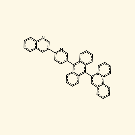 c1ccc2ncc(-c3ccc(-c4c5ccccc5c(-c5cc6ccccc6c6ccccc56)c5ccccc45)cn3)cc2c1